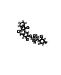 CC1(COc2cc(-c3c(Cl)n4n(c3=O)CCCC4)c(F)cc2Cl)CC(c2ccc(F)cc2Cl)=NO1